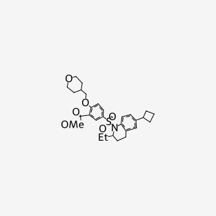 CCC1CCc2cc(C3CCC3)ccc2N1S(=O)(=O)c1ccc(OCC2CCOCC2)c(C(=O)OC)c1